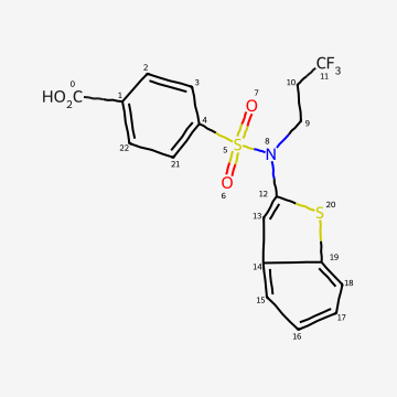 O=C(O)c1ccc(S(=O)(=O)N(CCC(F)(F)F)c2cc3ccccc3s2)cc1